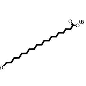 CC(C)(C)OC(=O)CCCCCCCCCCCCCCCCCCC=O